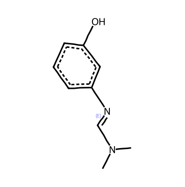 CN(C)/C=N/c1cccc(O)c1